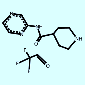 O=C(Nc1cnccn1)C1CCNCC1.O=CC(F)(F)F